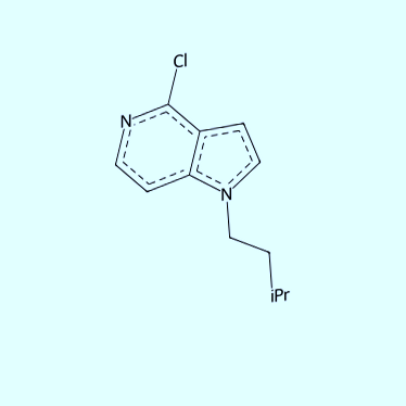 CC(C)CCn1ccc2c(Cl)nccc21